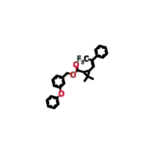 CC1(C)C(C=C(c2ccccc2)C(F)(F)F)C1C(=O)OCc1cccc(Oc2ccccc2)c1